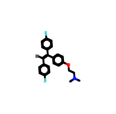 CC/C(=C(\c1ccc(F)cc1)c1ccc(OCCN(C)C)cc1)c1ccc(F)cc1